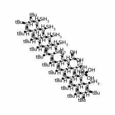 CC(C)(C)[SiH]([SiH]1[SiH2][SiH]([SiH3])[SiH]2[SiH]([SiH3])[SiH]3[SiH]([SiH3])[SiH]4[SiH]([SiH3])[SiH](C(C)(C)C)[SiH](C(C)(C)C)[SiH](C(C)(C)C)[SiH]4[SiH](C(C)(C)C)[SiH]3[SiH](C(C)(C)C)[SiH]2[SiH]1C(C)(C)C)[SiH]1[SiH]([SiH3])[SiH]([SiH](O)O)[SiH]2[SiH]([SiH2]O)[SiH]3[SiH]([SiH](C(C)(C)C)[SiH]2[SiH]1C(C)(C)C)[SiH](C(C)(C)C)[SiH]1[SiH]([SiH]([SiH3])[SiH](C(C)(C)C)[SiH](C(C)(C)C)[SiH]1C(C)(C)C)[SiH]3[Si](O)(O)O